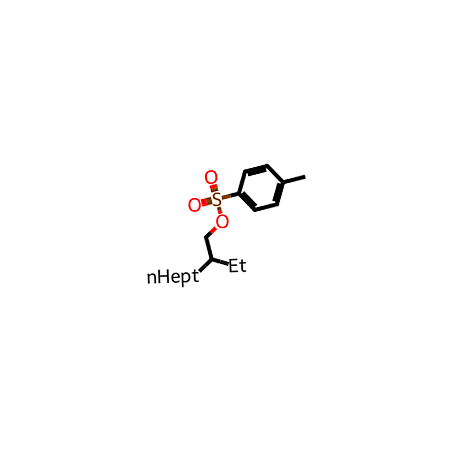 CCCCCCCC(CC)COS(=O)(=O)c1ccc(C)cc1